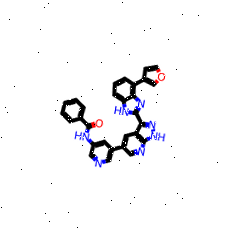 O=C(Nc1cncc(-c2cnc3[nH]nc(-c4nc5c(-c6ccoc6)cccc5[nH]4)c3c2)c1)c1ccccc1